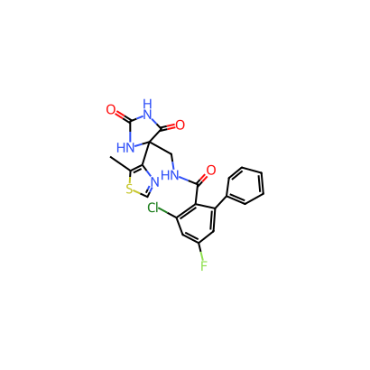 Cc1scnc1C1(CNC(=O)c2c(Cl)cc(F)cc2-c2ccccc2)NC(=O)NC1=O